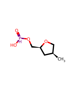 C[C@@H]1CO[C@H](CO[PH](=O)O)C1